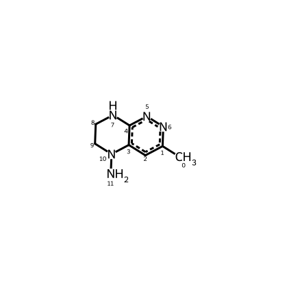 Cc1cc2c(nn1)NCCN2N